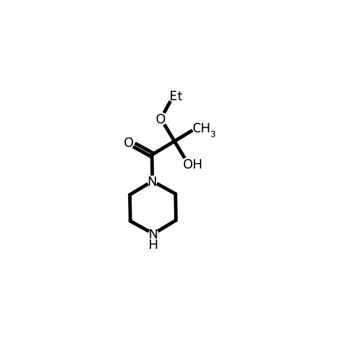 CCOC(C)(O)C(=O)N1CCNCC1